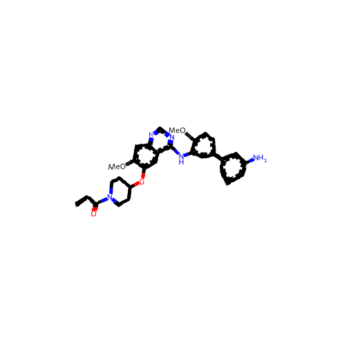 C=CC(=O)N1CCC(Oc2cc3c(Nc4cc(-c5cccc(N)c5)ccc4OC)ncnc3cc2OC)CC1